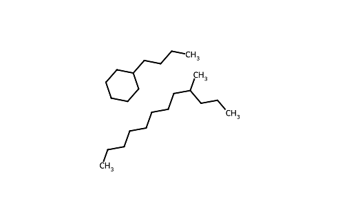 CCCCC1CCCCC1.CCCCCCCCC(C)CCC